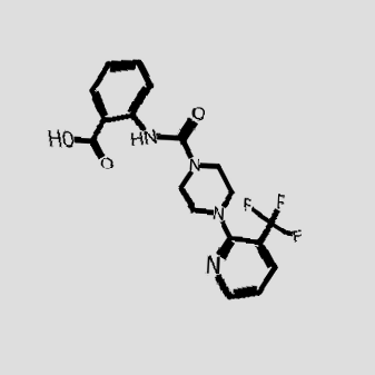 O=C(O)c1ccccc1NC(=O)N1CCN(c2ncccc2C(F)(F)F)CC1